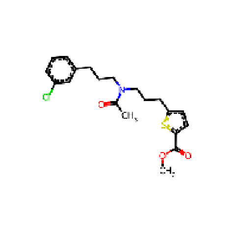 COC(=O)c1ccc(CCCN(CCCc2cccc(Cl)c2)C(C)=O)s1